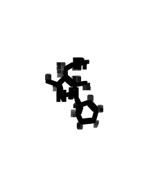 Cc1nn(-c2ccccc2)c(C)c1CC(C)C